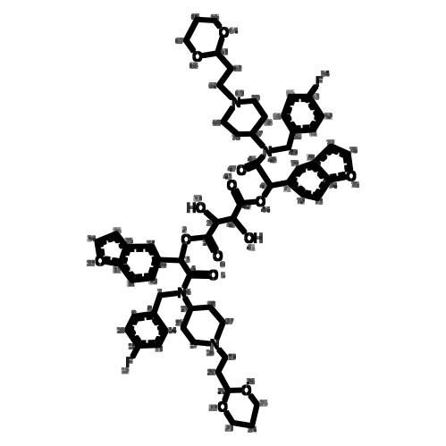 O=C(OC(C(=O)N(Cc1ccc(F)cc1)C1CCN(CCC2OCCCO2)CC1)c1ccc2occc2c1)C(O)C(O)C(=O)OC(C(=O)N(Cc1ccc(F)cc1)C1CCN(CCC2OCCCO2)CC1)c1ccc2occc2c1